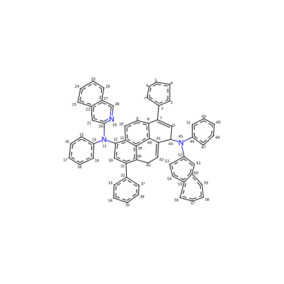 C1=C(c2ccccc2)c2ccc3c(N(c4ccccc4)c4cc5ccccc5cn4)cc(-c4ccccc4)c4c3c2C(=CC4)C1N(c1ccccc1)c1ccc2ccccc2c1